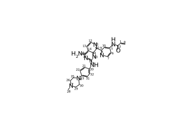 C=CC(=O)Nc1ccnc(-c2nccc3c(N)nc(Nc4ccc(N5CCN(C)CC5)cc4)nc23)c1